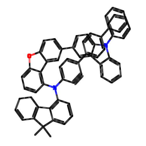 CC1(C)C2=C(CCC=C2)c2c(N(c3c#cc(-c4ccc(-c5ccccc5)cc4)cc3)c3cccc4oc5ccc(-c6ccc7c(c6)c6ccccc6n7-c6ccccc6)cc5c34)cccc21